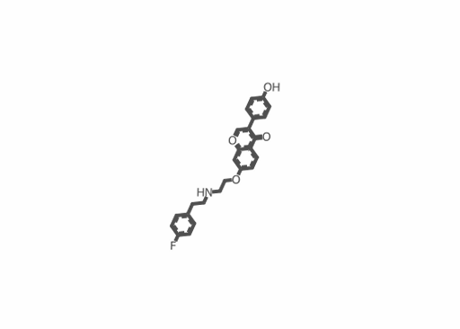 O=c1c(-c2ccc(O)cc2)coc2cc(OCCNCCc3ccc(F)cc3)ccc12